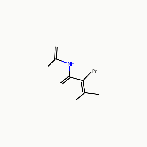 C=C(C)NC(=C)C(=C(C)C)C(C)C